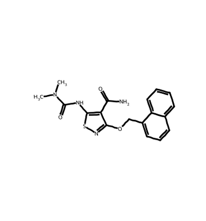 CN(C)C(=O)Nc1snc(OCc2cccc3ccccc23)c1C(N)=O